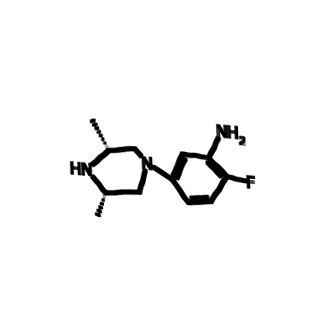 C[C@@H]1CN(c2ccc(F)c(N)c2)C[C@H](C)N1